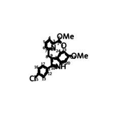 COC(=O)c1cccc(Cc2c(-c3ccc(Cl)cc3)[nH]c3cc(OC)ccc23)n1